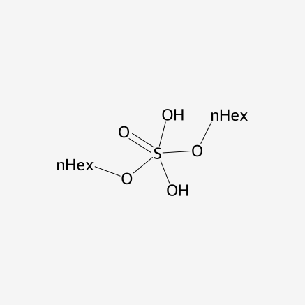 CCCCCCOS(=O)(O)(O)OCCCCCC